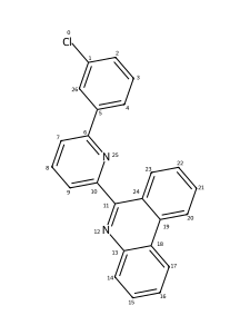 Clc1cccc(-c2cccc(-c3nc4ccccc4c4ccccc34)n2)c1